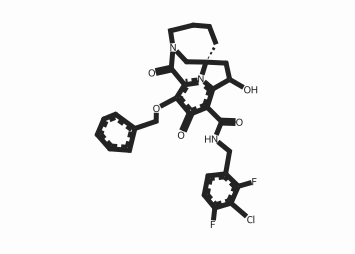 O=C(NCc1ccc(F)c(Cl)c1F)c1c2n3c(c(OCc4ccccc4)c1=O)C(=O)N1CCCC[C@@]3(CC2O)C1